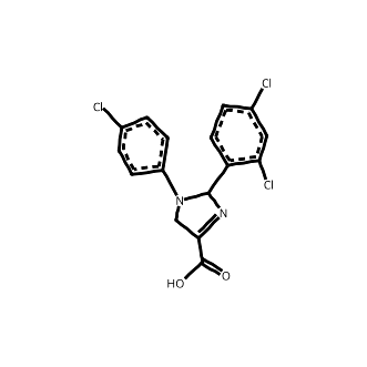 O=C(O)C1=NC(c2ccc(Cl)cc2Cl)N(c2ccc(Cl)cc2)C1